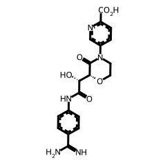 N=C(N)c1ccc(NC(=O)[C@H](O)[C@H]2OCCN(c3ccc(C(=O)O)nc3)C2=O)cc1